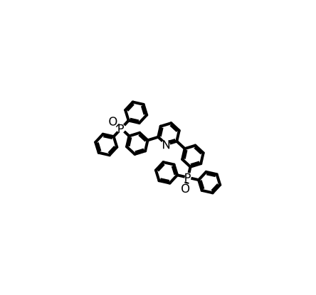 O=P(c1ccccc1)(c1ccccc1)c1cccc(-c2cccc(-c3cccc(P(=O)(c4ccccc4)c4ccccc4)c3)n2)c1